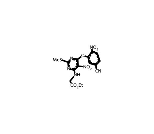 CCOC(=O)CNc1nc(SC)nc(Oc2cc(C#N)ccc2[N+](=O)[O-])c1[N+](=O)[O-]